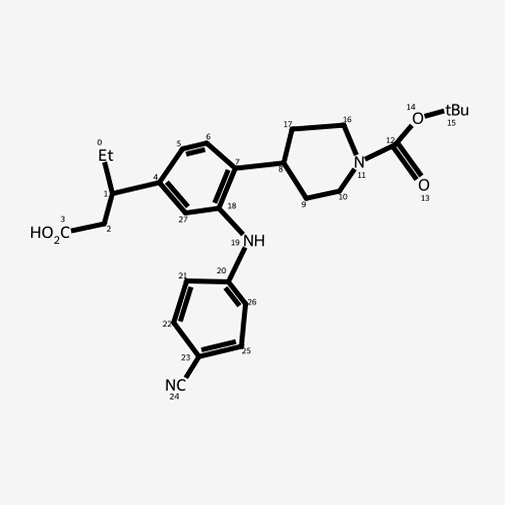 CCC(CC(=O)O)c1ccc(C2CCN(C(=O)OC(C)(C)C)CC2)c(Nc2ccc(C#N)cc2)c1